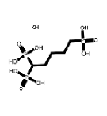 O=P(O)(O)CCCCC(P(=O)(O)O)P(=O)(O)O.[KH]